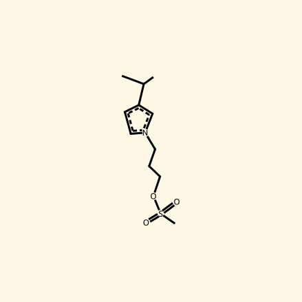 CC(C)c1ccn(CCCOS(C)(=O)=O)c1